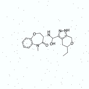 CCC1Cc2c(C(O)N[C@H]3COc4ccccc4N(C)C3=O)n[nH]c2CO1